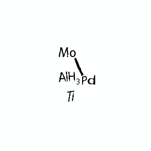 [AlH3].[Mo][Pd].[Ti]